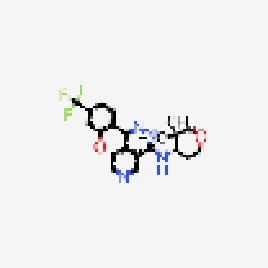 CC1(C)COCC[C@H]1Nc1nnc(-c2ccc(C(F)(F)F)cc2O)c2ccncc12